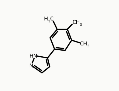 Cc1cc(-c2c[c]n[nH]2)cc(C)c1C